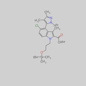 CCCn1nc(C)c(C)c1-c1c(Cl)ccc2c1c(C)c(C(=O)OC)n2CCCO[Si](C)(C)C(C)(C)C